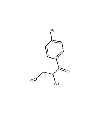 CC(CO)C(=O)c1ccc(C(C)C)cc1